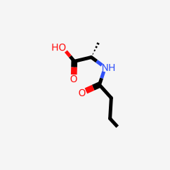 CCCC(=O)N[C@@H](C)C(=O)O